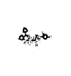 C[C@H](NC(=O)Nc1ccc(Cl)cc1Cl)C(=O)N[C@H]1N=C(c2ccccc2)c2ccccc2N(C)C1=O